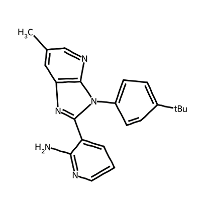 Cc1cnc2c(c1)nc(-c1cccnc1N)n2-c1ccc(C(C)(C)C)cc1